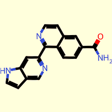 NC(=O)c1ccc2c(-c3cc4[nH]ccc4cn3)nccc2c1